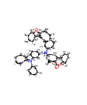 c1ccc(-n2c3ccccc3c3ccc(N(c4ccc5oc6ccccc6c5c4)c4ccc5ccc6oc7ccccc7c6c5c4)cc32)cc1